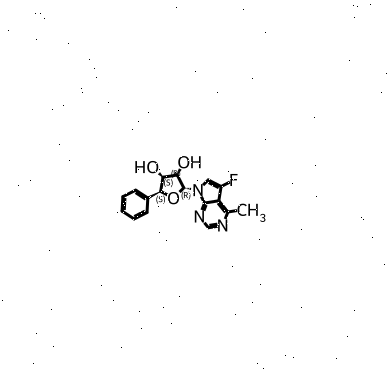 Cc1ncnc2c1c(F)cn2[C@@H]1O[C@@H](c2ccccc2)[C@@H](O)[C@H]1O